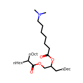 CCCCCCCCCCCC(COC(=O)C(CCCCCC)CCCCCCCC)OC(=O)CCCCCCN(C)C